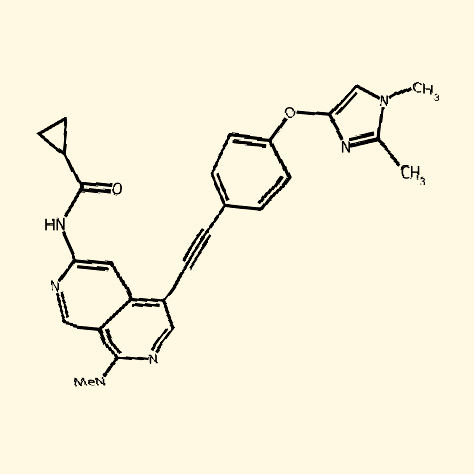 CNc1ncc(C#Cc2ccc(Oc3cn(C)c(C)n3)cc2)c2cc(NC(=O)C3CC3)ncc12